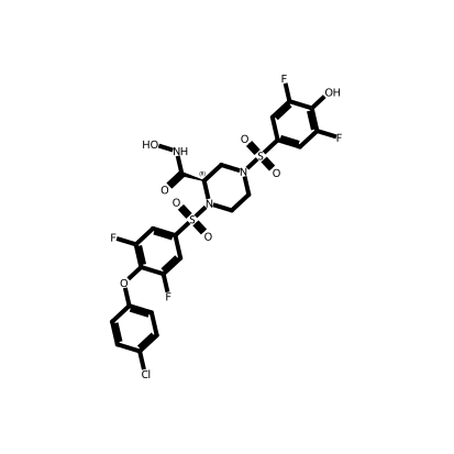 O=C(NO)[C@H]1CN(S(=O)(=O)c2cc(F)c(O)c(F)c2)CCN1S(=O)(=O)c1cc(F)c(Oc2ccc(Cl)cc2)c(F)c1